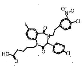 O=C(O)CCCCN1C(=O)C(c2ccc(Cl)cc2)N(CCc2ccc(Cl)c([N+](=O)[O-])c2)C(=O)c2cc(I)ccc21